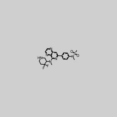 CN(c1nc(-c2ccc(N(C)S(C)(=O)=O)cc2)cc2nccnc12)C1CNCCC1(F)F